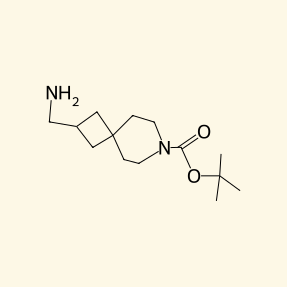 CC(C)(C)OC(=O)N1CCC2(CC1)CC(CN)C2